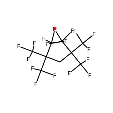 FC(F)(F)C(CC(C(F)(F)F)(C(F)(F)F)C(F)(F)F)(C(F)(F)F)C(F)(F)F